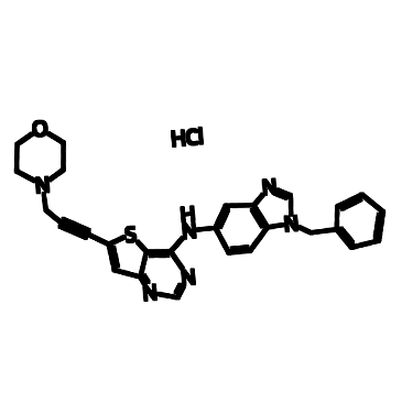 C(#Cc1cc2ncnc(Nc3ccc4c(c3)ncn4Cc3ccccc3)c2s1)CN1CCOCC1.Cl